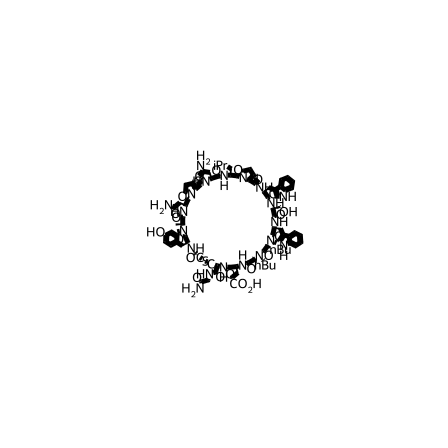 CCCC[C@H]1C(=O)N(C)[C@@H](CCCC)C(=O)N[C@@H](CCC(=O)O)C(=O)NC(C(=O)NCC(N)=O)CSCC(=O)N[C@@H](Cc2ccc(O)cc2)C(=O)N(C)[C@@H](C)C(=O)N[C@@H](CC(N)=O)C(=O)N2CCC[C@H]2C(=O)N[C@@H](CC(N)=O)C(=O)N[C@@H](CC(C)C)C(=O)N2CCC[C@H]2C(=O)N[C@@H](Cc2c[nH]c3ccccc23)C(=O)N[C@@H](CO)C(=O)N[C@@H](Cc2c[nH]c3ccccc23)C(=O)N1C